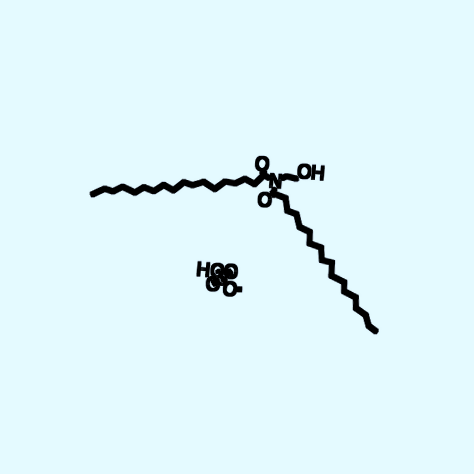 CCCCCCCCCCCCCCCCCC(=O)N(CCO)C(=O)CCCCCCCCCCCCCCCCC.COS(=O)(=O)O